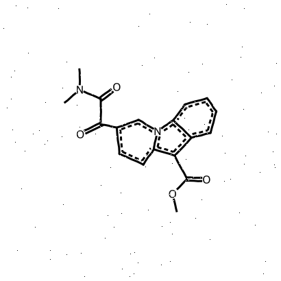 COC(=O)c1c2ccccc2n2cc(C(=O)C(=O)N(C)C)ccc12